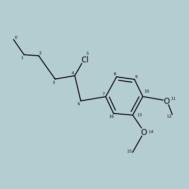 CCCCC(Cl)Cc1ccc(OC)c(OC)c1